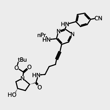 CCCNc1nc(Nc2ccc(C#N)cc2)ncc1C#CCCCNC(=O)[C@@H]1C[C@H](O)CN1C(=O)OC(C)(C)C